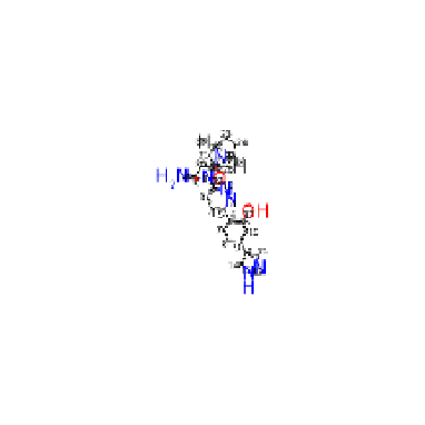 CN(c1ccc(-c2ccc(-c3cn[nH]c3)cc2O)nn1)C1C[C@H]2CC[C@@H](C1)N2C(=O)CCN